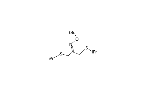 CC(C)SCC(CSC(C)C)=NOC(C)(C)C